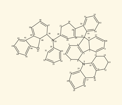 C1=CC2C3=C(C=CCC3N3C4=C(CCCC4)Sc4ccccc43)C3(C4=C(CCC(N(c5ccccc5)C5C=CC=C6c7ccccc7OC65)=C4)c4ccccc43)C2C=C1